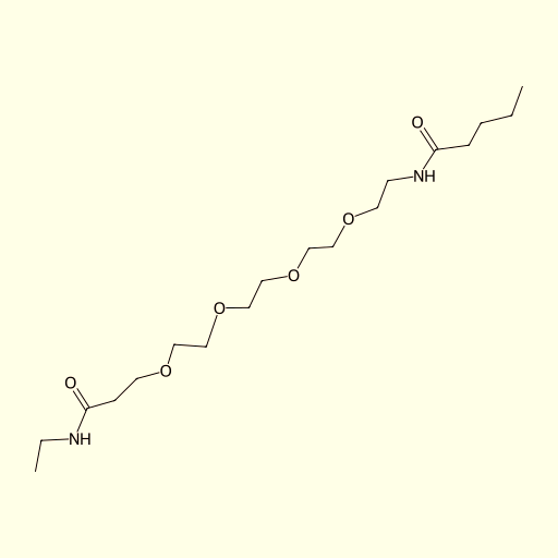 CCCCC(=O)NCCOCCOCCOCCOCCC(=O)NCC